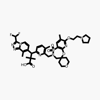 Cc1ccc(C(c2ccn3c(C(F)F)nnc3c2C)C(C)(C)C(=O)O)nc1CN1CC2(CCOCC2)Oc2nc(OCCN3CCCC3)c(C)cc2S1(=O)=O